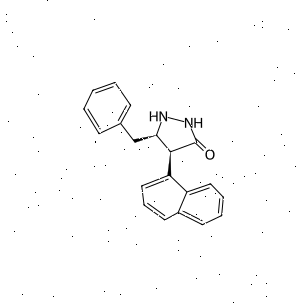 O=C1NN[C@H](Cc2ccccc2)[C@@H]1c1cccc2ccccc12